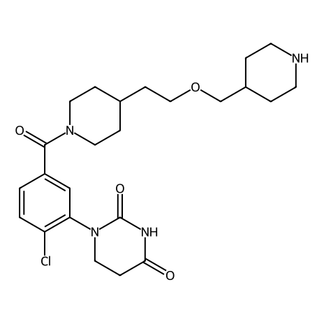 O=C1CCN(c2cc(C(=O)N3CCC(CCOCC4CCNCC4)CC3)ccc2Cl)C(=O)N1